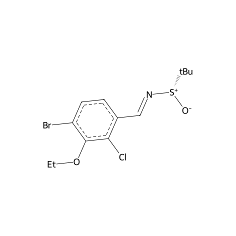 CCOc1c(Br)ccc(/C=N/[S@@+]([O-])C(C)(C)C)c1Cl